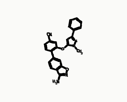 Cn1nc(-c2ccccc2)cc1Oc1cc(C#N)ccc1-c1ccc2c(N)noc2c1